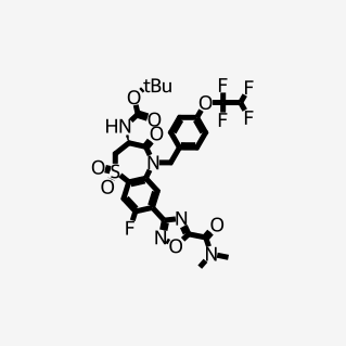 CN(C)C(=O)c1nc(-c2cc3c(cc2F)S(=O)(=O)C[C@H](NC(=O)OC(C)(C)C)C(=O)N3Cc2ccc(OC(F)(F)C(F)F)cc2)no1